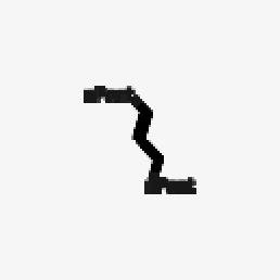 CCCCCC=CCCCCCC